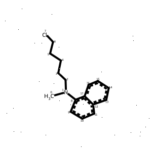 CN(CCCCCCl)c1cccc2ccccc12